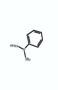 [CH2]CCCCCN(c1ccccc1)C(C)(C)C